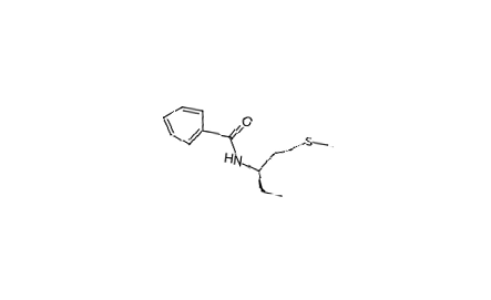 CC[C@H](CCSC)NC(=O)c1ccccc1